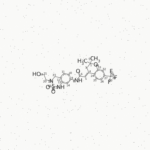 CC1(C)CC(=CC(=O)Nc2ccc3c(c2)NS(=O)(=O)N(CCO)C3)c2ccc(C(F)(F)F)cc2O1